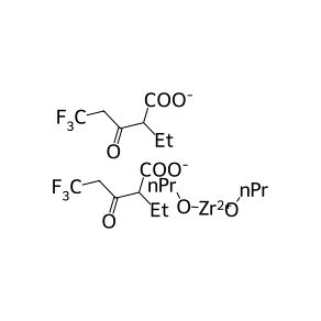 CCC(C(=O)[O-])C(=O)CC(F)(F)F.CCC(C(=O)[O-])C(=O)CC(F)(F)F.CCC[O][Zr+2][O]CCC